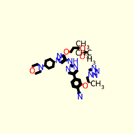 CC(=O)OC(C)(C)CCOc1nn([C@H]2CC[C@H](N3CCOCC3)CC2)cc1Nc1ncc(-c2ccc(C#N)c(O[C@@H](C)Cn3cnnn3)c2)cn1